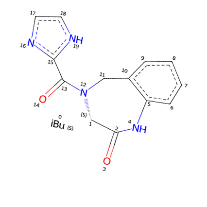 CC[C@H](C)[C@H]1C(=O)Nc2ccccc2CN1C(=O)c1ncc[nH]1